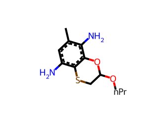 CCCOC1CSc2c(N)cc(C)c(N)c2O1